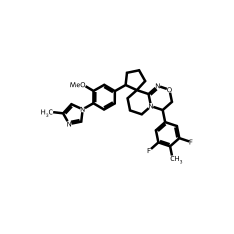 COc1cc(C2CCCC23CCCN2C3=NOCC2c2cc(F)c(C)c(F)c2)ccc1-n1cnc(C)c1